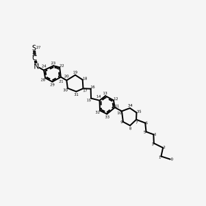 CCCCCCCC1CCC(c2ccc(CCC3CCC(c4ccc(N=C=S)cc4)CC3)cc2)CC1